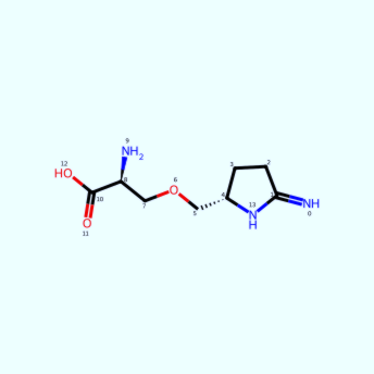 N=C1CC[C@@H](COC[C@H](N)C(=O)O)N1